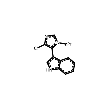 CCCn1cnc(Cl)c1-c1c[nH]c2ccccc12